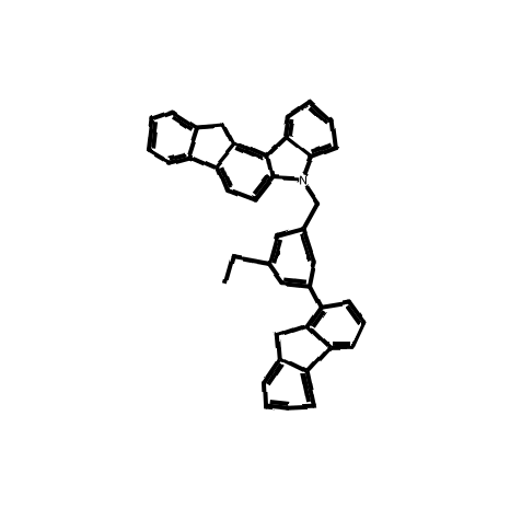 CCc1cc(Cn2c3ccccc3c3c4c(ccc32)-c2ccccc2C4)cc(-c2cccc3c2Cc2ccccc2-3)c1